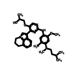 COc1cc(N(C)CCN(C)C)c(N)cc1Nc1ncc(OCC(C)O)c(-c2cn3c4c(cccc24)CCC3)n1